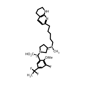 COc1c(F)cc(C(C)(F)F)cc1[C@@H](C(=O)O)N1CC[C@@H](N(C)CCCCCc2ccc3c(n2)NCCC3)C1